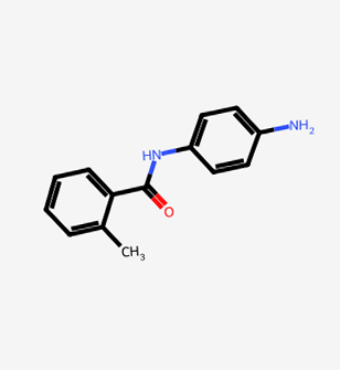 Cc1ccccc1C(=O)Nc1ccc(N)cc1